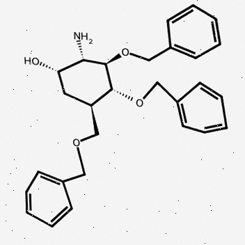 N[C@@H]1[C@@H](OCc2ccccc2)[C@H](OCc2ccccc2)[C@@H](COCc2ccccc2)C[C@@H]1O